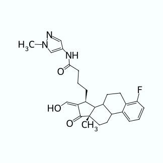 Cn1cc(NC(=O)CCC[C@@H]2/C(=C/O)C(=O)[C@@]3(C)CCC4c5cccc(F)c5CCC4C23)cn1